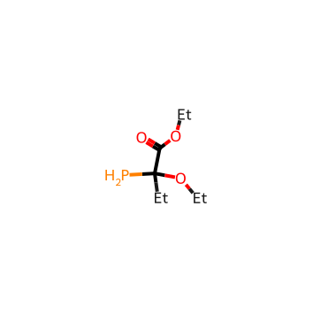 CCOC(=O)C(P)(CC)OCC